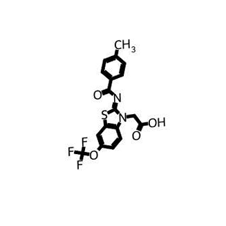 Cc1ccc(C(=O)/N=c2\sc3cc(OC(F)(F)F)ccc3n2CC(=O)O)cc1